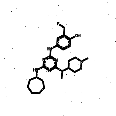 CN1CCC(N(C)c2nc(Nc3ccc(O)c(CF)c3)nc(NC3CCCCCC3)n2)CC1